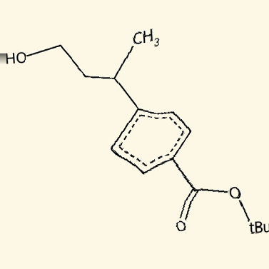 CC(CCO)c1ccc(C(=O)OC(C)(C)C)cc1